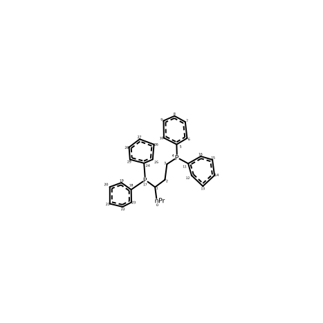 CCCC(CCP(c1ccccc1)c1ccccc1)P(c1ccccc1)c1ccccc1